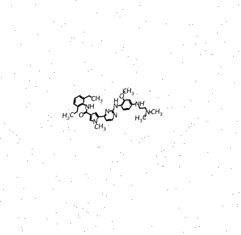 CCc1cccc(CC)c1NC(=O)c1cc(-c2ccnc(Nc3ccc(NCCN(C)C)cc3OC)n2)n(C)c1